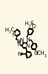 COc1ccc(CN(Cc2ccc(OC)cc2)c2nc(-c3ccccc3C#N)cc3nn(Cc4cccc(C)n4)nc23)cc1